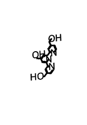 OCc1ccnc(-c2cc(CO)cc(-c3cc(CO)ccn3)n2)c1